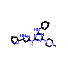 CN1CCN(c2nc(Nc3ccccc3)nc(Nc3cc(-c4ccccn4)[nH]n3)n2)CC1